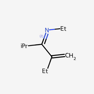 C=C(CC)/C(=N\CC)C(C)C